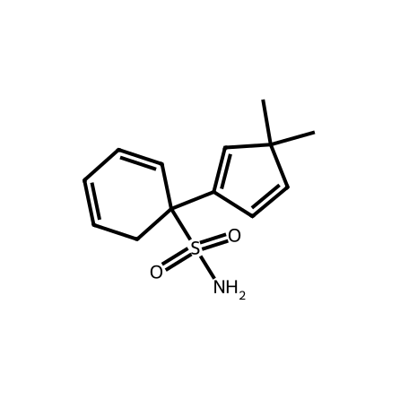 CC1(C)C=CC(C2(S(N)(=O)=O)C=CC=CC2)=C1